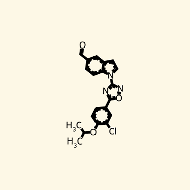 CC(C)Oc1ccc(-c2nc(-n3ccc4cc(C=O)ccc43)no2)cc1Cl